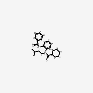 CC(C)CCN(C(=O)C1CCCCC1)c1ccccc1SC(=O)c1ccccc1